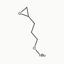 CCCCOCCCC1CO1